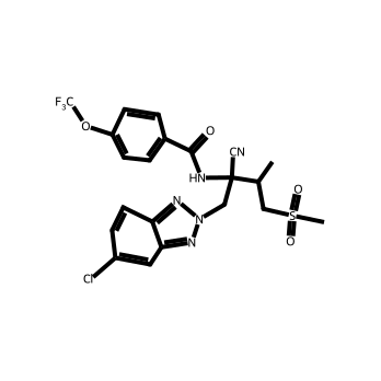 CC(CS(C)(=O)=O)C(C#N)(Cn1nc2ccc(Cl)cc2n1)NC(=O)c1ccc(OC(F)(F)F)cc1